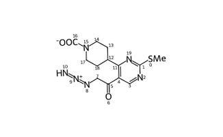 CSc1ncc(C(=O)CN=[N+]=N)c(C2CCN(C(=O)[O-])CC2)n1